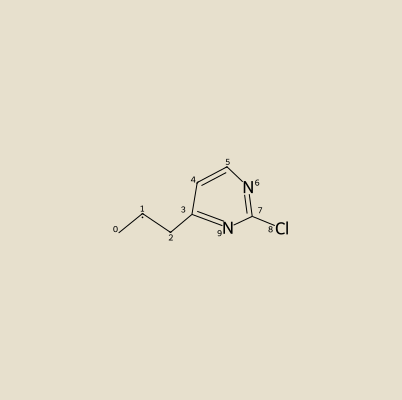 C[CH]Cc1ccnc(Cl)n1